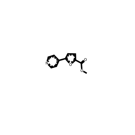 COC(=O)c1ccc(-c2ccncc2)o1